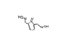 ON=Cc1ccc(C=NO)[nH]1